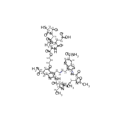 CCc1nc(C)oc1C(=O)/N=c1\sc2cc(C(N)=O)cnc2n1C/C=C/Cn1c(NC(=O)c2sc(C)nc2CC)nc2cc(C(N)=O)cc(OCCCOC(=O)[C@H](C)NC(=O)[C@H](CCC(=O)O)NC(=O)CN3C(=O)CC(S)C3=O)c21